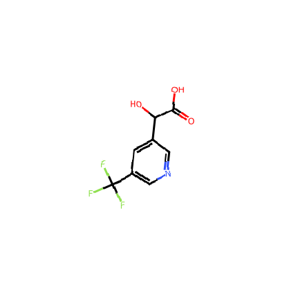 O=C(O)C(O)c1cncc(C(F)(F)F)c1